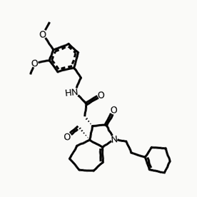 COc1ccc(CNC(=O)C[C@@H]2C(=O)N(CCC3=CCCCC3)C3=CCCCC[C@]32C=O)cc1OC